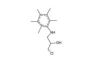 Cc1c(C)c(C)c(NCC(O)CCl)c(C)c1C